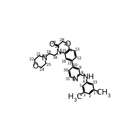 Cc1cc(C)cc(Nc2cc(-c3ccc4c(c3)N(CCN3CCOCC3)C(=O)CO4)ccn2)c1